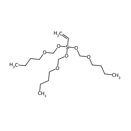 C=C[Si](OCOCCCC)(OCOCCCC)OCOCCCC